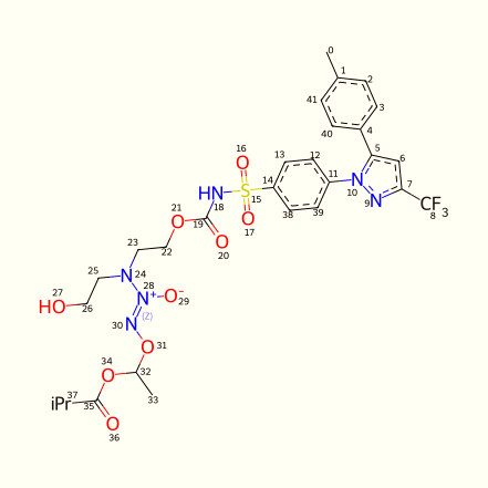 Cc1ccc(-c2cc(C(F)(F)F)nn2-c2ccc(S(=O)(=O)NC(=O)OCCN(CCO)/[N+]([O-])=N/OC(C)OC(=O)C(C)C)cc2)cc1